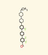 C=CC1CCC(C2CC=C(c3ccc(-c4ccc(-c5ccc(C6CO6)c(F)c5F)cc4)c(F)c3)CC2)CC1